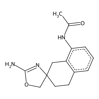 CC(=O)Nc1cccc2c1CC1(CC2)COC(N)=N1